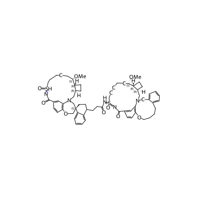 CO[C@H]1CCCCC[S@](=O)(NC(=O)CCC2CC[C@]3(COc4ccc5cc4N(C[C@@H]4CC[C@H]4[C@@H](OC)CCCCC/[SH](=O)=N\C5=O)C3)c3ccccc32)=NC(=O)c2ccc3c(c2)N(Cc2ccccc2CCCCO3)C[C@@H]2CC[C@H]21